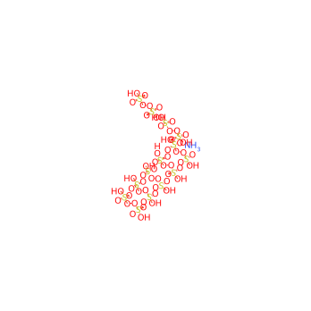 N.O=S(=O)(O)OOS(=O)(=O)O.O=S(=O)(O)OOS(=O)(=O)O.O=S(=O)(O)OOS(=O)(=O)O.O=S(=O)(O)OOS(=O)(=O)O.O=S(=O)(O)OOS(=O)(=O)O.O=S(=O)(O)OOS(=O)(=O)O.O=S(=O)(O)OOS(=O)(=O)O